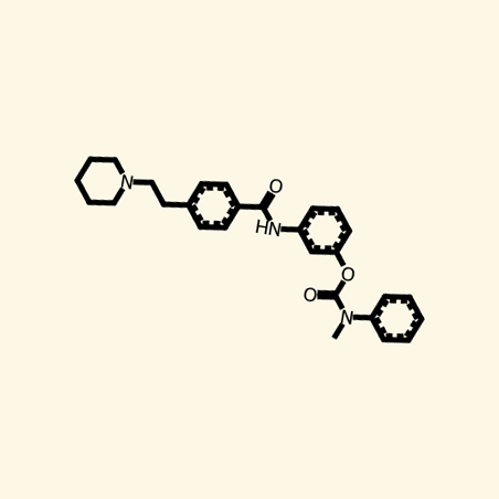 CN(C(=O)Oc1cccc(NC(=O)c2ccc(CCN3CCCCC3)cc2)c1)c1ccccc1